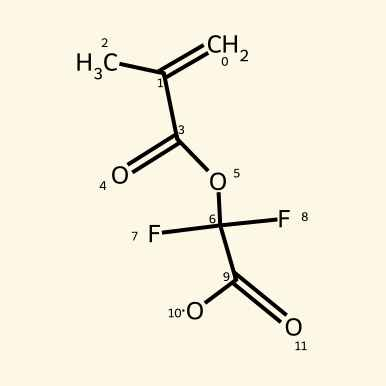 C=C(C)C(=O)OC(F)(F)C([O])=O